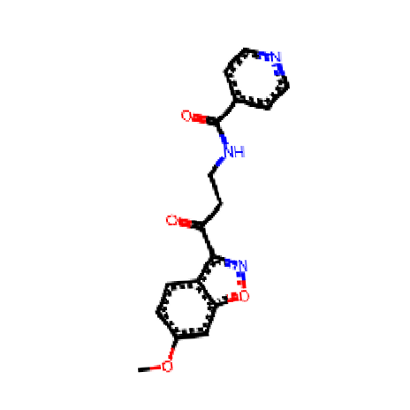 COc1ccc2c(C(=O)CCNC(=O)c3ccncc3)noc2c1